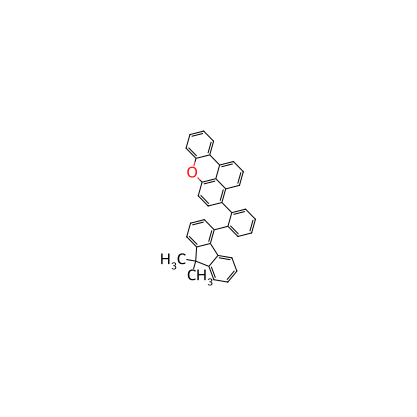 CC1(C)c2ccccc2-c2c(-c3ccccc3-c3ccc4c5c(cccc35)-c3ccccc3O4)cccc21